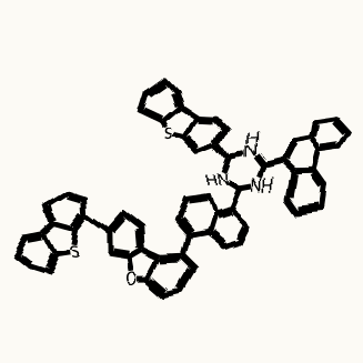 c1ccc2c(c1)cc(C1NC(c3ccc4c(c3)sc3ccccc34)NC(c3cccc4c(-c5cccc6oc7cc(-c8cccc9c8sc8ccccc89)ccc7c56)cccc34)N1)c1ccccc12